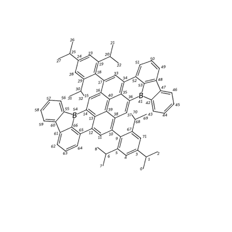 CC(C)c1cc(C(C)C)c(-c2cc3c4c(cc5c(-c6c(C(C)C)cc(C(C)C)cc6C(C)C)cc6c7c(cc2c4c57)B2c4ccccc4-c4cccc-6c42)B2c4ccccc4-c4cccc-3c42)c(C(C)C)c1